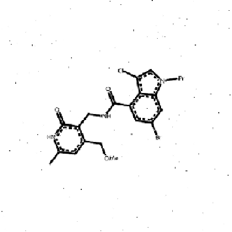 COCc1cc(C)[nH]c(=O)c1CNC(=O)c1cc(Br)cc2c1c(Cl)cn2C(C)C